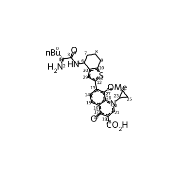 CCCC[C@@H](N)C(=O)NC1CCCc2sc(-c3ccc4c(=O)c(C(=O)O)cn(C5CC5)c4c3OC)cc21